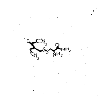 CCC(CSSCC(N)C(N)=O)C(C)=O